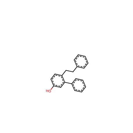 Oc1ccc(CCc2ccccc2)c(-c2ccccc2)c1